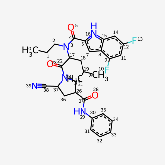 CCCN(C(=O)c1cc2c(F)cc(F)cc2[nH]1)C(CC(C)C)C(=O)N1CC(C(=O)Nc2ccccc2)CC1C#N